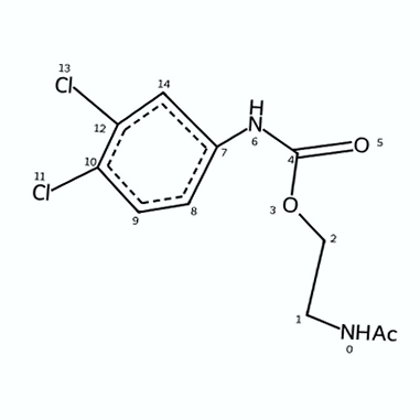 CC(=O)NCCOC(=O)Nc1ccc(Cl)c(Cl)c1